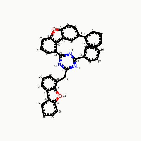 c1ccc(-c2ccc3oc4cccc(-c5nc(Cc6cccc7c6oc6ccccc67)nc(-c6ccccc6)n5)c4c3c2)cc1